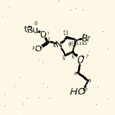 CC(C)(C)OC(=O)N1CC(OCCO)[C@H](Br)C1